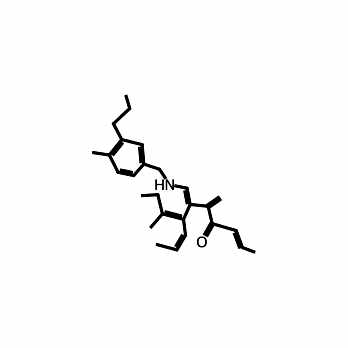 C=C(C(=O)C=CC)C(=C/NCc1ccc(C)c(CCC)c1)/C(/C=C\C)=C(/C)CC